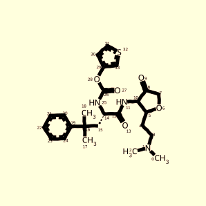 CN(C)CCC1OCC(=O)C1NC(=O)[C@H](CC(C)(C)c1ccccc1)NC(=O)Oc1ccsc1